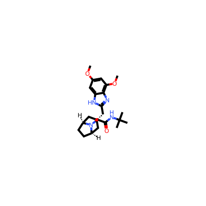 COc1cc(OC)c2nc(C[C@@H]3C[C@H]4CC[C@@H](C3)N4CC(=O)NC(C)(C)C)[nH]c2c1